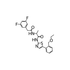 CCOCc1ccccc1-c1cnc(NC(=O)C(C)NC(=O)Cc2cc(F)cc(F)c2)s1